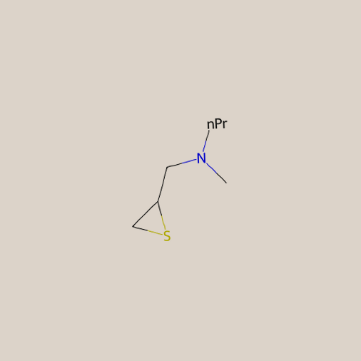 CCCN(C)CC1CS1